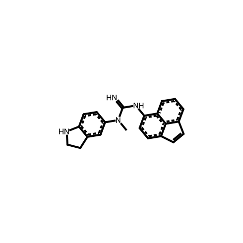 CN(C(=N)Nc1ccc2c3c(cccc13)C=C2)c1ccc2c(c1)CCN2